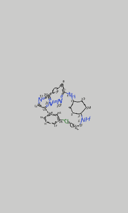 O=CNC1CCC(Nc2ccc3ncc(-c4cccc(Cl)c4)n3n2)CC1